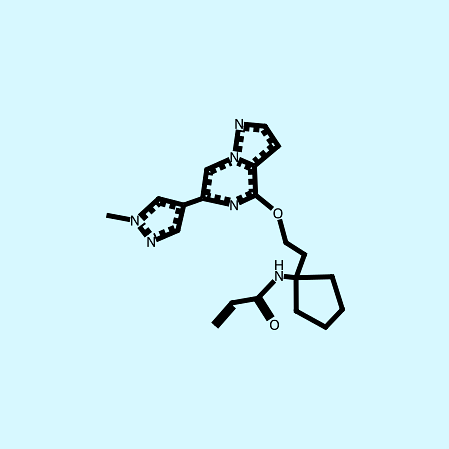 C=CC(=O)NC1(CCOc2nc(-c3cnn(C)c3)cn3nccc23)CCCC1